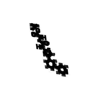 CC(C)(C)OC(=O)NCC(=O)Nc1nc(C2CCCN(c3ccncc3)C2)cs1